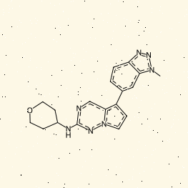 Cn1nnc2ccc(-c3ccn4nc(NC5CCOCC5)ncc34)cc21